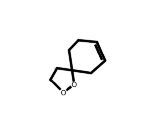 [CH]1COOC12CC=CCC2